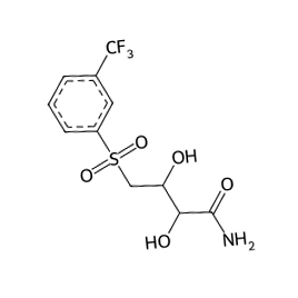 NC(=O)C(O)C(O)CS(=O)(=O)c1cccc(C(F)(F)F)c1